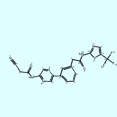 N#CCC(=O)Nc1cnc(-c2cccc(CC(=O)Nc3ncc(C(F)(F)F)s3)c2)cn1